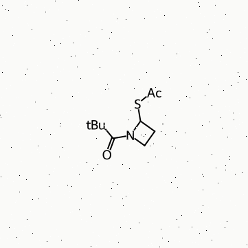 CC(=O)SC1CCN1C(=O)C(C)(C)C